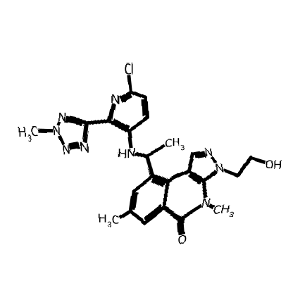 Cc1cc(C(C)Nc2ccc(Cl)nc2-c2nnn(C)n2)c2c(c1)c(=O)n(C)c1c2cnn1CCO